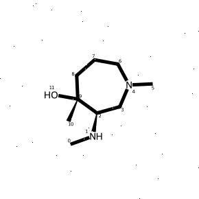 CN[C@@H]1CN(C)CCC[C@@]1(C)O